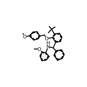 COc1ccc(COc2c(C(Nc3ccccc3OC)c3ccccc3)cccc2C(C)(C)C)cc1